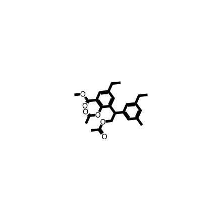 CCc1cc(C)cc(C(COC(C)=O)c2cc(CC)cc(C(=O)OC)c2OC(C)=O)c1